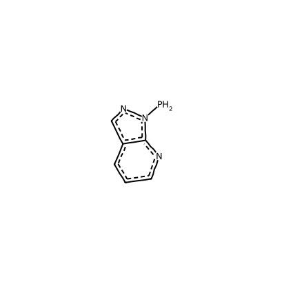 Pn1ncc2cccnc21